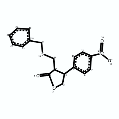 O=C1OCC(c2ccc([N+](=O)[O-])cc2)C1CSCc1ccccc1